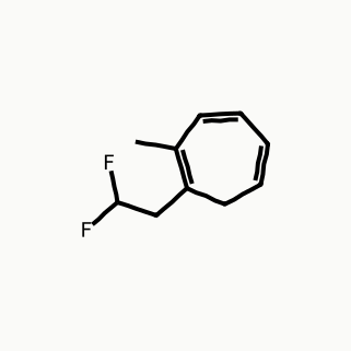 CC1=C(CC(F)F)CC=CC=C1